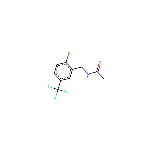 CC(=O)NCc1cc(C(F)(F)F)ccc1Br